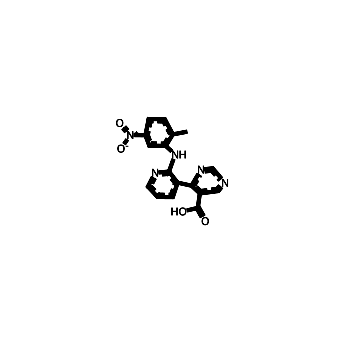 Cc1ccc([N+](=O)[O-])cc1Nc1ncccc1-c1ncncc1C(=O)O